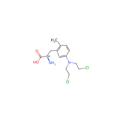 Cc1ccc(N(CCCl)CCCl)cc1C[C@@H](N)C(=O)O